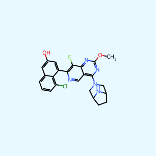 COc1nc(N2CC3CCC(C2)N3)c2cnc(-c3cc(O)cc4cccc(Cl)c34)c(F)c2n1